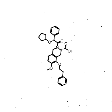 COc1ccc2c(c1OCCc1ccccc1)C[C@@H](C(=O)O)N(C(=O)[C@@H](OC1CCCC1)c1ccccc1)C2